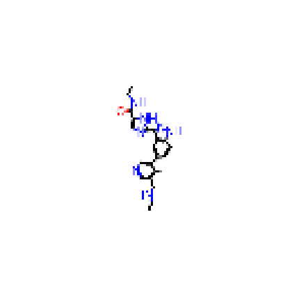 CCNCc1cncc(-c2ccc3[nH]nc(-c4ncc(C(=O)NCC)[nH]4)c3c2)c1C